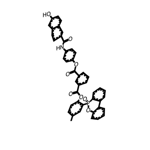 Cc1ccc(OC(=O)c2cccc(C(=O)Oc3ccc(NC(=O)c4ccc5cc(O)ccc5c4)cc3)c2)c(P2(=O)Oc3ccccc3-c3ccccc32)c1